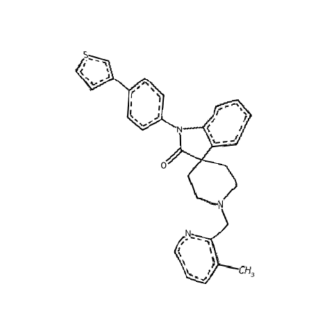 Cc1cccnc1CN1CCC2(CC1)C(=O)N(c1ccc(-c3ccsc3)cc1)c1ccccc12